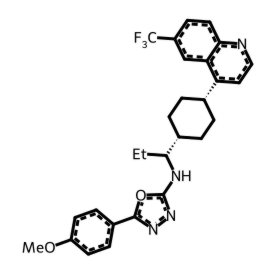 CCC(Nc1nnc(-c2ccc(OC)cc2)o1)[C@H]1CC[C@@H](c2ccnc3ccc(C(F)(F)F)cc32)CC1